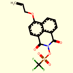 C=CCOc1ccc2c3c(cccc13)C(=O)N(OS(=O)(=O)C(F)(F)F)C2=O